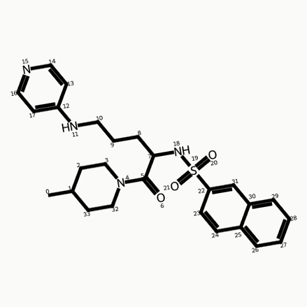 CC1CCN(C(=O)C(CCCNc2ccncc2)NS(=O)(=O)c2ccc3ccccc3c2)CC1